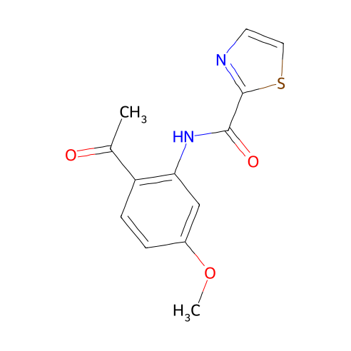 COc1ccc(C(C)=O)c(NC(=O)c2nccs2)c1